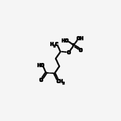 C=C(CCC(C)OP(=O)(O)O)C(=O)O